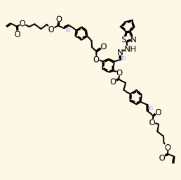 C=CC(=O)OCCCCOC(=O)/C=C/c1ccc(CCC(=O)Oc2ccc(OC(=O)CCc3ccc(/C=C/C(=O)OCCCCOC(=O)C=C)cc3)c(/C=N/Nc3nc4ccccc4s3)c2)cc1